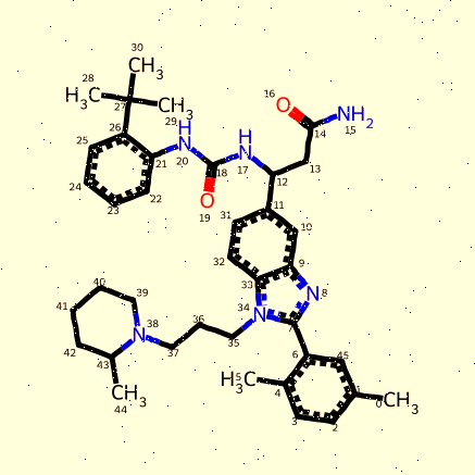 Cc1ccc(C)c(-c2nc3cc(C(CC(N)=O)NC(=O)Nc4ccccc4C(C)(C)C)ccc3n2CCCN2CCCCC2C)c1